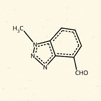 Cn1nnc2c(C=O)cccc21